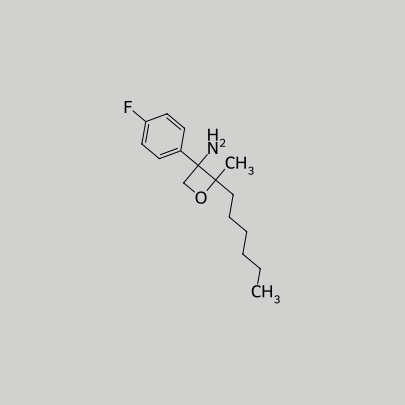 CCCCCCC1(C)OCC1(N)c1ccc(F)cc1